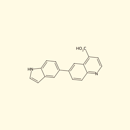 O=C(O)c1ccnc2ccc(-c3ccc4[nH]ccc4c3)cc12